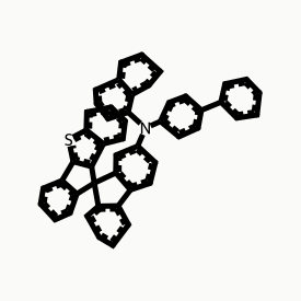 c1ccc(-c2ccc(N(c3ccc4c(c3)C3(c5ccccc5-4)c4ccccc4-c4sc5ccccc5c43)c3cccc4ccccc34)cc2)cc1